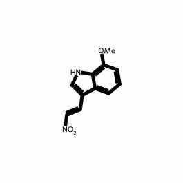 COc1cccc2c(C=C[N+](=O)[O-])c[nH]c12